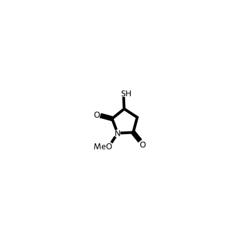 CON1C(=O)CC(S)C1=O